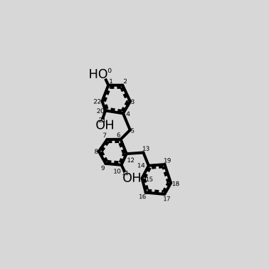 Oc1ccc(Cc2cccc(O)c2Cc2ccccc2)c(O)c1